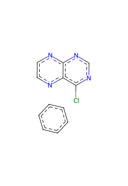 Clc1ncnc2nccnc12.c1ccccc1